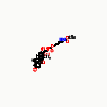 CC(C)(C)OC(=O)NCCCCCOC(=O)OCC(=O)[C@@]1(O)CC[C@H]2[C@@H]3CCC4=CC(=O)CC[C@]4(C)[C@H]3C(=O)C[C@@]21C